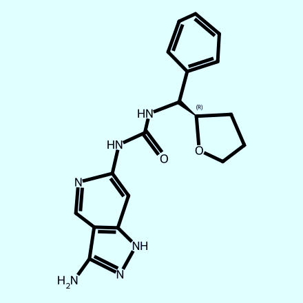 Nc1n[nH]c2cc(NC(=O)NC(c3ccccc3)[C@H]3CCCO3)ncc12